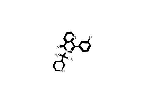 CC(C)(C1CCCNC1)n1nc(-c2cccc(Cl)c2)c2ncccc2c1=O